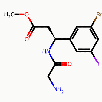 COC(=O)C[C@H](NC(=O)CN)c1cc(Br)cc(I)c1